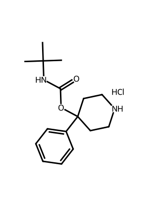 CC(C)(C)NC(=O)OC1(c2ccccc2)CCNCC1.Cl